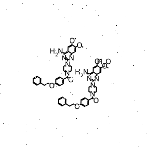 COc1cc2nc(N3CCN(C(=O)c4ccc(OCCc5ccccc5)cc4)CC3)nc(N)c2cc1OC.COc1cc2nc(N3CCN(C(=O)c4ccc(OCCc5ccccc5)cc4)CC3)nc(N)c2cc1OC.O